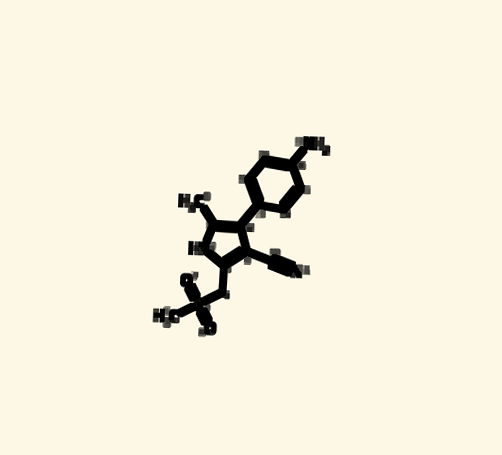 Cc1[nH]c(CS(C)(=O)=O)c(C#N)c1-c1ccc(N)cc1